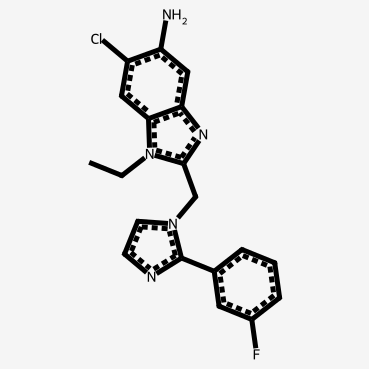 CCn1c(Cn2ccnc2-c2cccc(F)c2)nc2cc(N)c(Cl)cc21